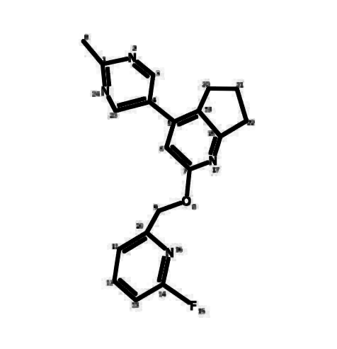 Cc1ncc(-c2cc(OCc3cccc(F)n3)nc3c2CCC3)cn1